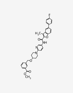 COC(=O)c1cccc(COC2CCN(c3ccc(NC(=O)c4oc5ccc(-c6ccc(F)cc6)cc5c4C)cn3)CC2)c1